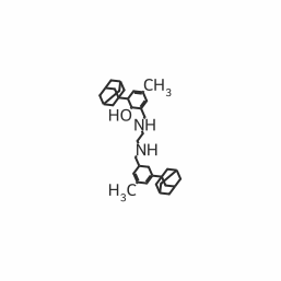 CC1=CC(CNCCNCC2=CC(C)=CC(C34CC5CC(CC(C5)C3)C4)C2O)CC(C23CC4CC(CC(C4)C2)C3)=C1